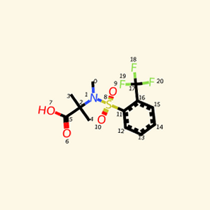 CN(C(C)(C)C(=O)O)S(=O)(=O)c1ccccc1C(F)(F)F